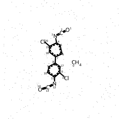 C.O=C=Nc1ccc(-c2ccc(N=C=O)c(Cl)c2)cc1Cl